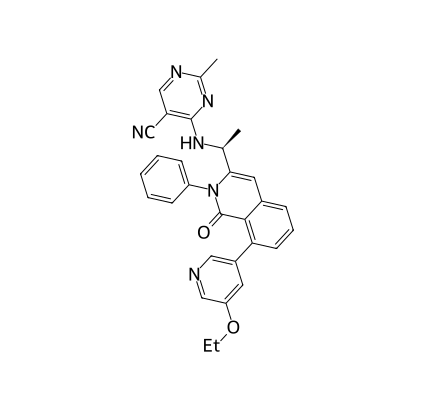 CCOc1cncc(-c2cccc3cc([C@H](C)Nc4nc(C)ncc4C#N)n(-c4ccccc4)c(=O)c23)c1